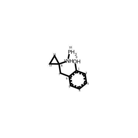 Oc1ccccc1CC1(NP)CC1